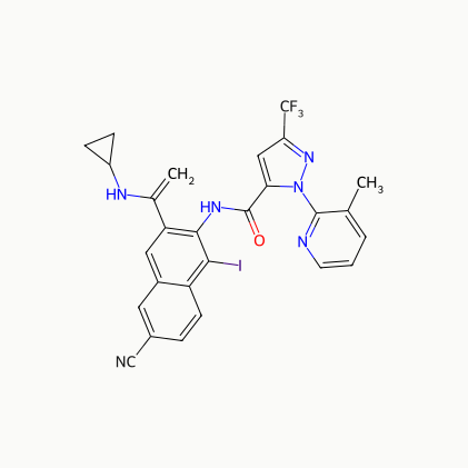 C=C(NC1CC1)c1cc2cc(C#N)ccc2c(I)c1NC(=O)c1cc(C(F)(F)F)nn1-c1ncccc1C